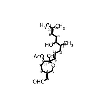 CC(=O)O[C@@H]1CCC(=CC=O)CO[C@@]1(C)CCCC(C)C(O)CC=C(C)C